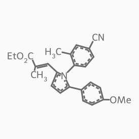 CCOC(=O)/C(C)=C/c1ccc(-c2ccc(OC)cc2)n1-c1ccc(C#N)cc1C